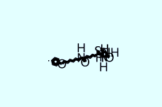 O=C(CCCC[C@H]1SC[C@H]2NC(=O)N[C@H]21)NCCCCCCOc1cc[c]cc1